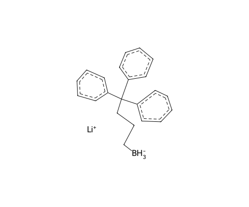 [BH3-]CCCC(c1ccccc1)(c1ccccc1)c1ccccc1.[Li+]